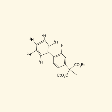 [2H]c1c([2H])c([2H])c(-c2ccc(C(C)(C(=O)OCC)C(=O)OCC)cc2F)c([2H])c1[2H]